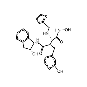 O=C(NO)[C@@H](NCc1cccs1)[C@@H](Cc1cccc(O)c1)C(=O)N[C@H]1c2ccccc2C[C@H]1O